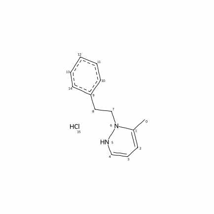 CC1=CC=CNN1CCc1ccccc1.Cl